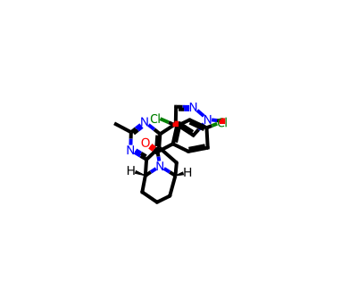 Cc1nc(-c2cnn(C)c2)c2c(n1)[C@H]1CCC[C@@H](C2)N1C(=O)c1ccc(Cl)cc1Cl